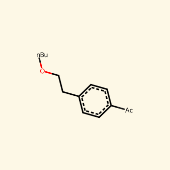 CCCCOCCc1ccc(C(C)=O)cc1